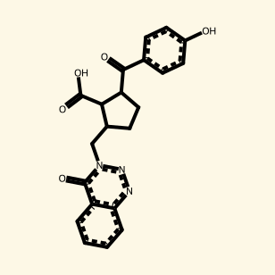 O=C(c1ccc(O)cc1)C1CCC(Cn2nnc3ccccc3c2=O)C1C(=O)O